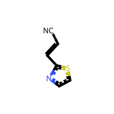 N#CC=Cc1nccs1